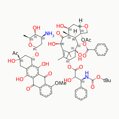 CC(=O)O[C@@]12CO[C@@H]1C[C@H](O)[C@@]1(C)C(=O)[C@H](O)C3=C(C)[C@@H](OC(=O)C(O)[C@@H](NC(=O)OC(C)(C)C)c4ccccc4)C[C@@](O)([C@@H](OC(=O)c4ccccc4)[C@H]21)C3(C)C.COc1cccc2c1C(=O)c1c(O)c3c(c(O)c1C2=O)C[C@@](O)(C(C)=O)C[C@@H]3O[C@H]1C[C@H](N)[C@H](O)[C@H](C)O1